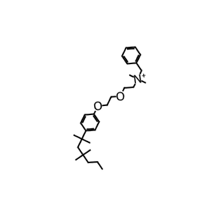 CCCC(C)(C)CC(C)(C)c1ccc(OCCOCC[N+](C)(C)Cc2ccccc2)cc1